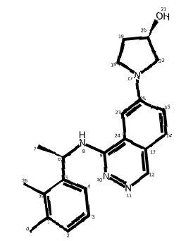 Cc1cccc([C@@H](C)Nc2nncc3ccc(N4CC[C@@H](O)C4)cc23)c1C